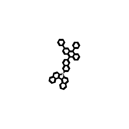 c1ccc(-c2ccc3c(-c4ccc5cc(-n6c7ccc8ccccc8c7c7c8ccccc8ccc76)ccc5c4)c4ccccc4c(-c4ccccc4)c3c2)cc1